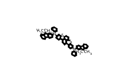 CC1(C)c2ccccc2-c2ccc(N(c3ccccc3)c3ccc4c(c3)Sc3ccc5c6c(ccc-4c36)-c3ccc(N(c4ccccc4)c4ccc6c(c4)C(C)(C)c4ccccc4-6)cc3S5)cc21